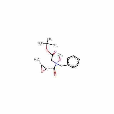 CO[N+](CC(=O)OC(C)(C)C)(Cc1ccccc1)C(=O)[C@@H]1O[C@@H]1C